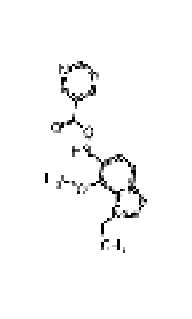 CCn1ccc2ccc(NOC(=O)c3cccnc3)c(OC)c21